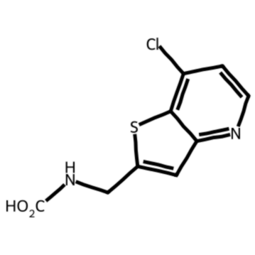 O=C(O)NCc1cc2nccc(Cl)c2s1